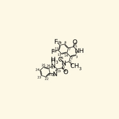 CC(c1c[nH]c(=O)c2cc(F)c(F)cc12)N(C)C(=O)c1nc2ccccc2[nH]1